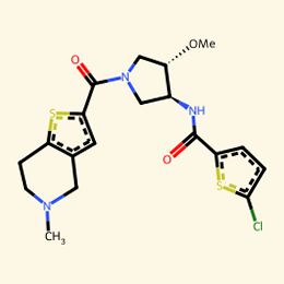 CO[C@H]1CN(C(=O)c2cc3c(s2)CCN(C)C3)C[C@@H]1NC(=O)c1ccc(Cl)s1